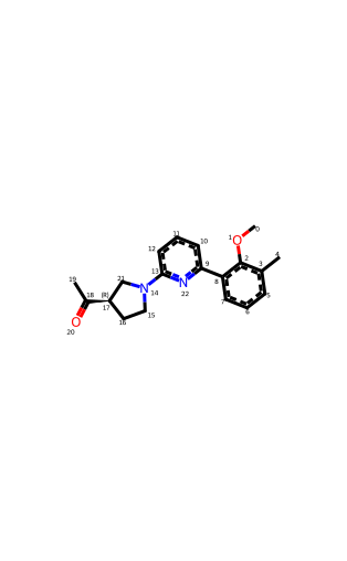 COc1c(C)cccc1-c1cccc(N2CC[C@@H](C(C)=O)C2)n1